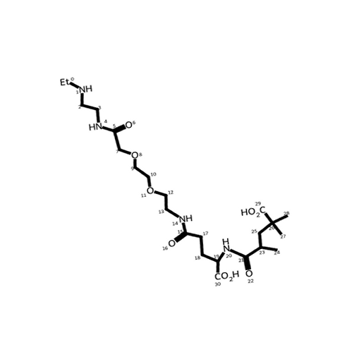 CCNCCNC(=O)COCCOCCNC(=O)CCC(NC(=O)C(C)CC(C)(C)C(=O)O)C(=O)O